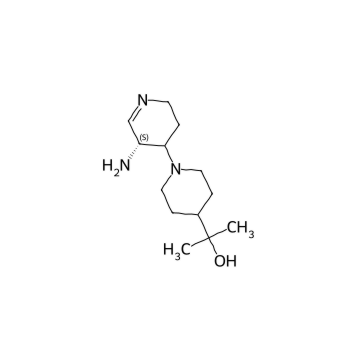 CC(C)(O)C1CCN(C2CCN=C[C@H]2N)CC1